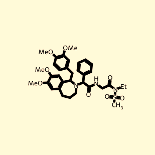 CCN(C(=O)CNC(=O)C(c1ccccc1)N1CCCc2cc(OC)c(OC)cc2C1Cc1ccc(OC)c(OC)c1)S(C)(=O)=O